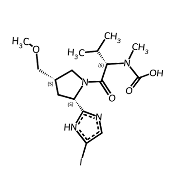 COC[C@H]1C[C@@H](c2ncc(I)[nH]2)N(C(=O)[C@H](C(C)C)N(C)C(=O)O)C1